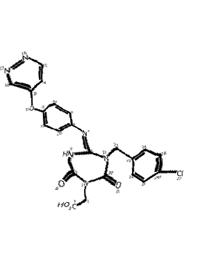 O=C(O)Cn1c(=O)[nH]/c(=N\c2ccc(Oc3ccnnc3)cc2)n(Cc2ccc(Cl)cc2)c1=O